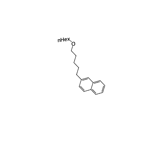 [CH2]CCCCCOCCCCCc1ccc2ccccc2c1